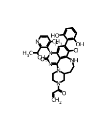 C=CC(=O)N1CCN2c3nc(=O)n(-c4c(C)ccnc4C(C)C)c4c(F)c(-c5c(O)cccc5O)c(Cl)c(c34)NCCC2C1